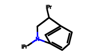 CC(C)C1CN(C(C)C)c2cccc1c2